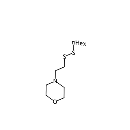 CCCCCCSSCCN1CCOCC1